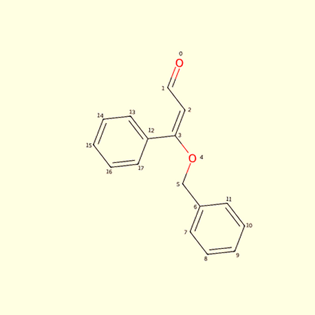 O=CC=C(OCc1ccccc1)c1ccccc1